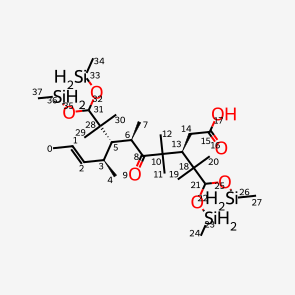 C/C=C/[C@H](C)[C@@H]([C@@H](C)C(=O)C(C)(C)[C@@H](CC(=O)O)C(C)(C)C(O[SiH2]C)O[SiH2]C)C(C)(C)C(O[SiH2]C)O[SiH2]C